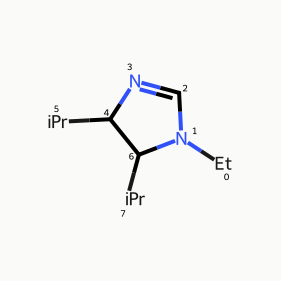 CCN1C=NC(C(C)C)C1C(C)C